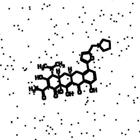 CN(C)[C@H]1C(O)=C(C(N)=O)C(=O)[C@]2(O)C(O)=C3C(=O)c4c(O)ccc(-c5ccc(CN6CCCC6)o5)c4C[C@@H]3C[C@H]12